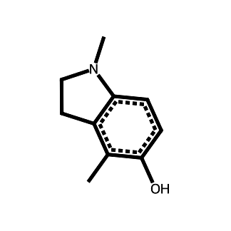 Cc1c(O)ccc2c1CCN2C